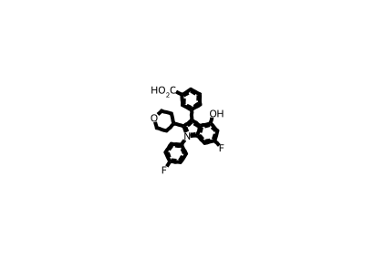 O=C(O)c1cccc(-c2c(C3CCOCC3)n(-c3ccc(F)cc3)c3cc(F)cc(O)c23)c1